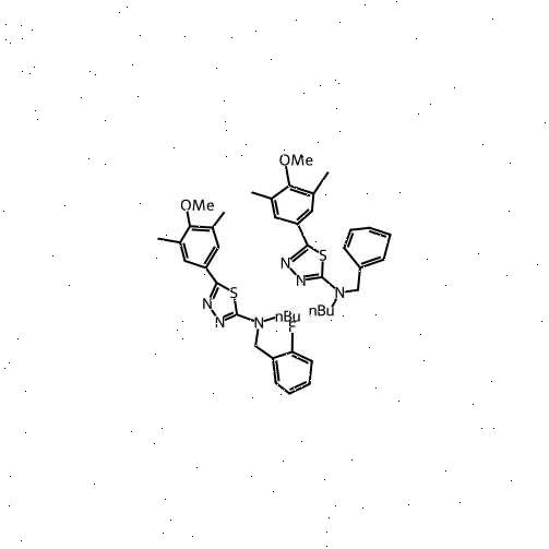 CCCCN(Cc1ccccc1)c1nnc(-c2cc(C)c(OC)c(C)c2)s1.CCCCN(Cc1ccccc1F)c1nnc(-c2cc(C)c(OC)c(C)c2)s1